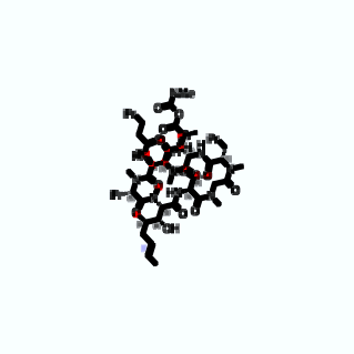 C/C=C/C[C@@H](C)[C@@H](O)[C@@H](C(=O)N[C@H](C(=O)N(C)CC(=O)N(C)[C@@H](CC(C)C)C(=O)N[C@@H](CC(C)C)C(=O)N(C)[C@@H](CC(C)C)C(=O)N[C@H](C)C(=O)OC(=O)NC)[C@@H](C)O)N(C)C(=O)[C@H](C(C)C)N(C)C(=O)[C@H](CC(C)C)NC(=O)CCC(C)C